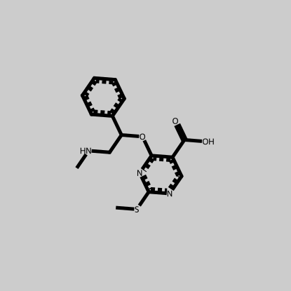 CNCC(Oc1nc(SC)ncc1C(=O)O)c1ccccc1